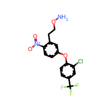 NOCCc1cc(Oc2ccc(C(F)(F)F)cc2Cl)ccc1[N+](=O)[O-]